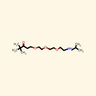 CC(C)CNCCOCCOCCOCCC(=O)C(C)(C)C